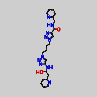 O=C(NCc1ccccn1)c1cn(CCCCn2cc(NC(O)Cc3ccccn3)nn2)nn1